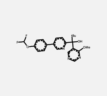 COc1ncncc1C(O)(c1ccc(-c2ccc(OC(F)F)cc2)cn1)C(C)(C)C